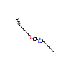 CCCCCCCCCc1cnc(-c2ccc(OCCCCCCCCCC[Si](C)(C)C(C)(C)C(C)C)cc2)nc1